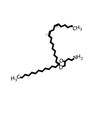 CCCCC/C=C\C/C=C\CCCCCCCCC1(CCCCCCCCCCCC)OCC(CCN)O1